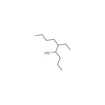 CCCCC(CC)C(S)CCC